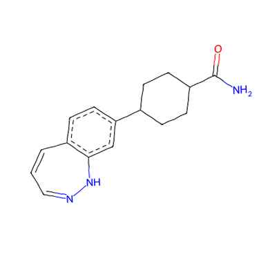 NC(=O)C1CCC(c2ccc3c(c2)NN=CC=C3)CC1